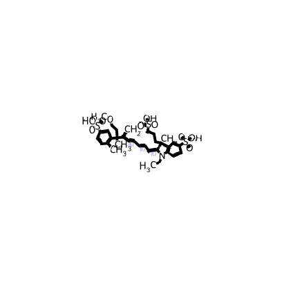 C=C(/C=C/C=C/C=C1/N(CC)c2ccc(S(=O)(=O)O)cc2C1(C)CCCS(=O)(=O)O)C(C)(CCOC)c1cc(S(=O)(=O)O)ccc1C